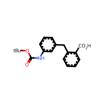 CC(C)(C)OC(=O)Nc1cccc(Cc2ccccc2C(=O)O)c1